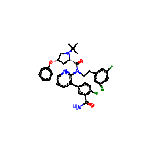 CC(C)(C)N1C[C@@H](Oc2ccccc2)C[C@H]1C(=O)N(CCc1cc(F)cc(F)c1)c1ncccc1-c1ccc(F)c(C(N)=O)c1